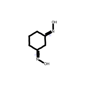 O/N=C1/CCC/C(=N\O)C1